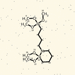 CO[Si](CCCCN1CCCC[Si]1(OC)OC)(OC)OC